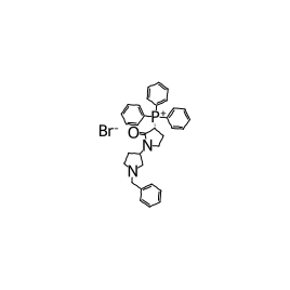 O=C1[C@H]([P+](c2ccccc2)(c2ccccc2)c2ccccc2)CCN1C1CCN(Cc2ccccc2)C1.[Br-]